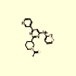 CC(=O)N1CCCC(c2nc(Nc3cccnn3)cc(-c3cccnc3)n2)C1